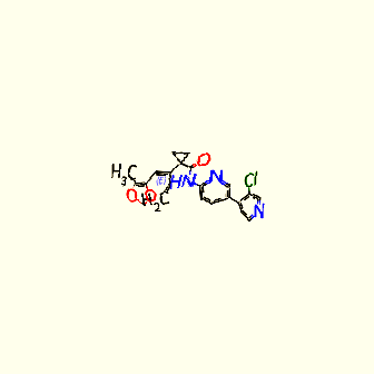 C=C/C(=C\C1=C(C)OCO1)C1(C(=O)Nc2ccc(-c3ccncc3Cl)cn2)CC1